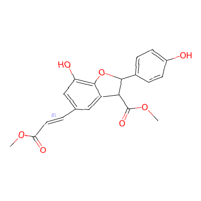 COC(=O)/C=C/c1cc(O)c2c(c1)C(C(=O)OC)C(c1ccc(O)cc1)O2